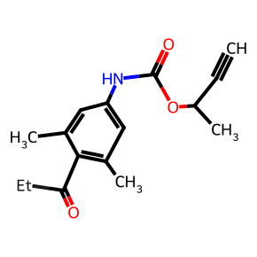 C#CC(C)OC(=O)Nc1cc(C)c(C(=O)CC)c(C)c1